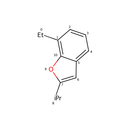 CCc1cccc2cc(C(C)C)oc12